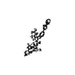 CN/C=C\C(=N)c1cc(F)c(CN(C[C@H](O)[C@H](Cc2ccc(-c3ccc(N4CC5CCC(C4)N5C4COC4)nc3)cc2)NC(=O)C(NC(=O)OC)C(C)(C)C)NC(=O)[C@@H](NC(=O)OC)C(C)(C)C)c(F)c1